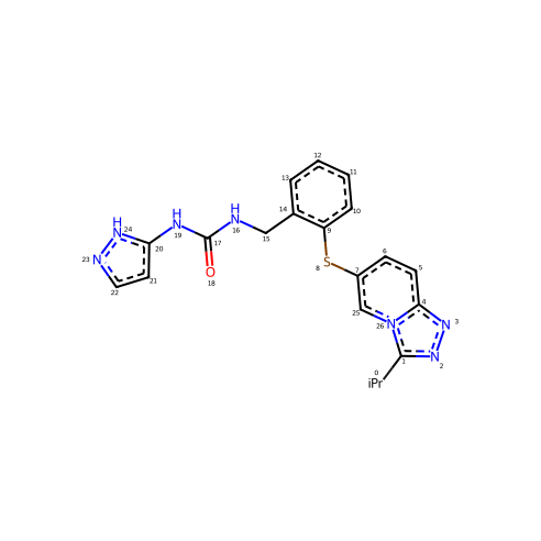 CC(C)c1nnc2ccc(Sc3ccccc3CNC(=O)Nc3ccn[nH]3)cn12